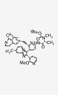 COc1ncccc1-c1nc2cc(C)ccn2c1-c1ccc(NC(=O)[C@H](C)N(C)C(=O)OC(C)(C)C)nc1C#Cc1ccc2c(C)nccc2c1